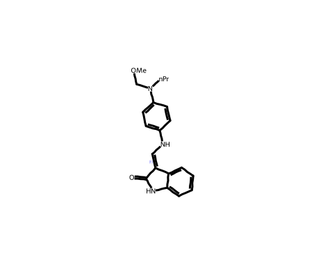 CCCN(COC)c1ccc(N/C=C2/C(=O)Nc3ccccc32)cc1